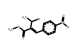 COC(=O)C(=Cc1ccc([N+](=O)[O-])cc1)C(C)Br